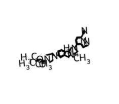 C[C@@H]1CN(c2ccc(C#N)n3nccc23)C[C@@H]2c3ccc(N4CCN(C(=O)OC(C)(C)C)CC4)cc3CN12